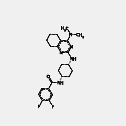 CN(C)c1nc(N[C@H]2CC[C@@H](NC(=O)c3ccc(F)c(F)c3)CC2)nc2c1CCCC2